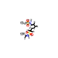 CC(CCC(C)(C)S(=O)(=O)N(C)[C@H](C)C(C)(C)C)C(C)[C@H](C)N(C)S(=O)(=O)C(C)(C)C